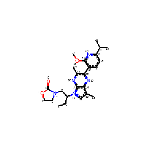 CCC(CN1CCOC1=O)n1cc(C)c2nc(-c3ccc(C(C)C)nc3OC)c(C)nc21